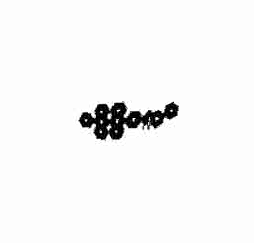 C1=CC2=NC(c3ccc(-c4c5ccccc5c(-c5c6ccccc6c(-c6ccccc6)c6ccccc56)c5ccccc45)cc3)=CC2C=C1c1ccccc1